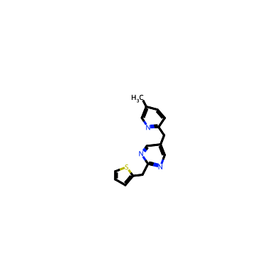 Cc1ccc(Cc2cnc(Cc3cccs3)nc2)nc1